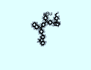 C=Cc1ccc(C23CC4CC(C2)CC(c2ccc(N(c5ccc(CCCC)cc5)c5ccc(N(c6ccc(-c7ccc8c(c7)C(C)(C)c7ccccc7-8)cc6)c6ccc7ccccc7c6)cc5)cc2)(C4)C3)cc1